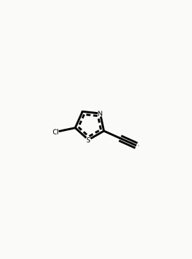 [C]#Cc1ncc(Cl)s1